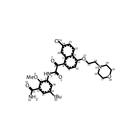 COc1c(NC(=O)C(=O)c2ccc(OCCN3CCOCC3)c3ccc(Cl)cc23)cc(C(C)(C)C)cc1C(N)=O